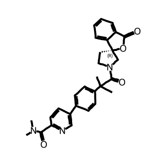 CN(C)C(=O)c1ccc(-c2ccc(C(C)(C)C(=O)N3CC[C@@]4(C3)OC(=O)c3ccccc34)cc2)cn1